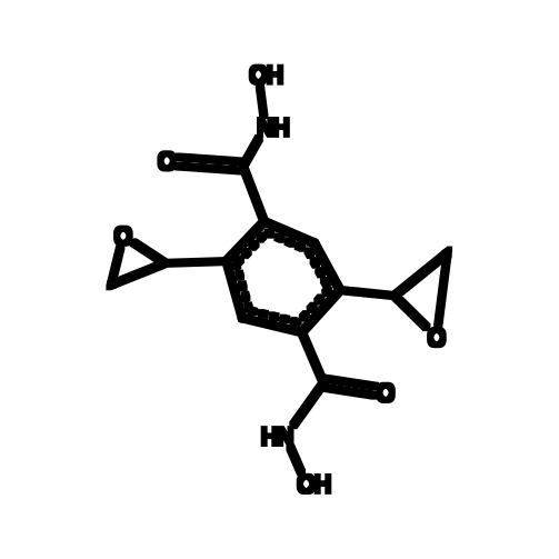 O=C(NO)c1cc(C2CO2)c(C(=O)NO)cc1C1CO1